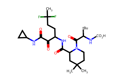 CC(F)(F)CCC(NC(=O)C1CC(C)(C)CCN1C(=O)C(NC(=O)O)C(C)(C)C)C(=O)C(=O)NC1CC1